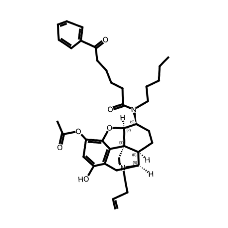 C=CCN1CC[C@]23c4c5c(O)cc(OC(C)=O)c4O[C@H]2[C@@H](N(CCCCC)C(=O)CCCCC(=O)c2ccccc2)CC[C@H]3[C@H]1C5